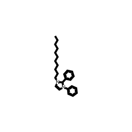 CCCCCCCCCCCN1C=CN(c2ccccc2)C1c1ccccc1